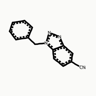 N#Cc1ccc2c(c1)nnn2Cc1ccccc1